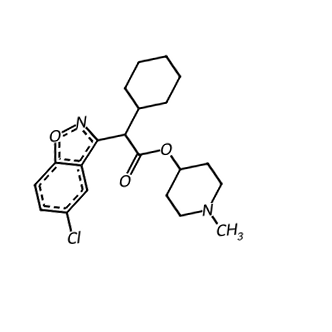 CN1CCC(OC(=O)C(c2noc3ccc(Cl)cc23)C2CCCCC2)CC1